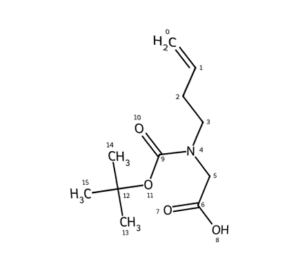 C=CCCN(CC(=O)O)C(=O)OC(C)(C)C